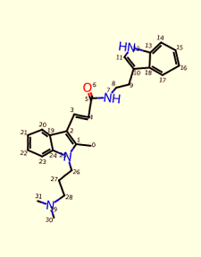 Cc1c(C=CC(=O)NCCc2c[nH]c3ccccc23)c2ccccc2n1CCCN(C)C